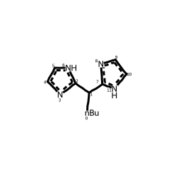 CCCCC(c1ncc[nH]1)c1ncc[nH]1